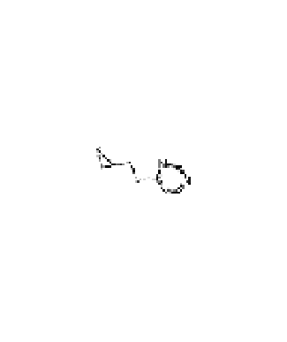 c1ncnc(SCC2CS2)n1